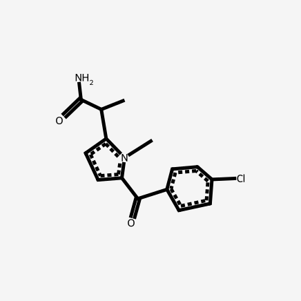 CC(C(N)=O)c1ccc(C(=O)c2ccc(Cl)cc2)n1C